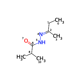 CC/C(C)=N/NC(=O)C(C)C